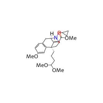 COC(=O)/C=C1\[C@H]2Cc3ccc(OC)cc3[C@]1(CCCC(OC)OC)CCN2CC1CC1